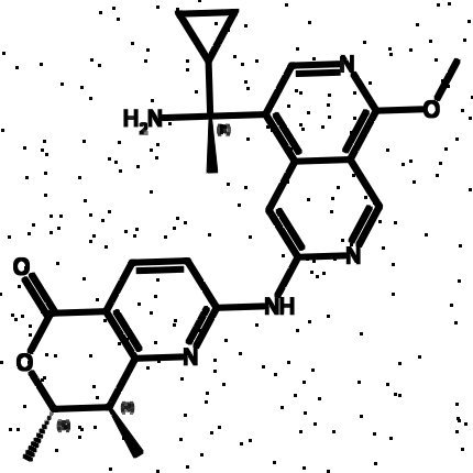 COc1ncc([C@](C)(N)C2CC2)c2cc(Nc3ccc4c(n3)[C@@H](C)[C@H](C)OC4=O)ncc12